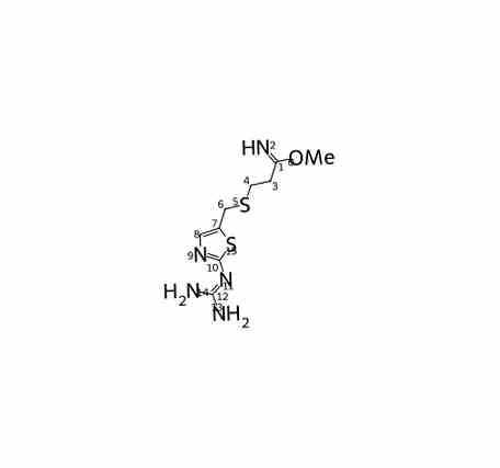 COC(=N)CCSCc1cnc(N=C(N)N)s1